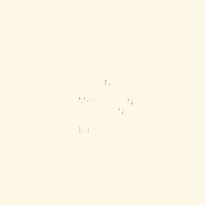 CSc1c(C(=O)OC(C)(C)C)n[n+](C)c2cccnc12